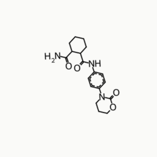 NC(=O)C1CCCCC1C(=O)Nc1ccc(N2CCCOC2=O)cc1